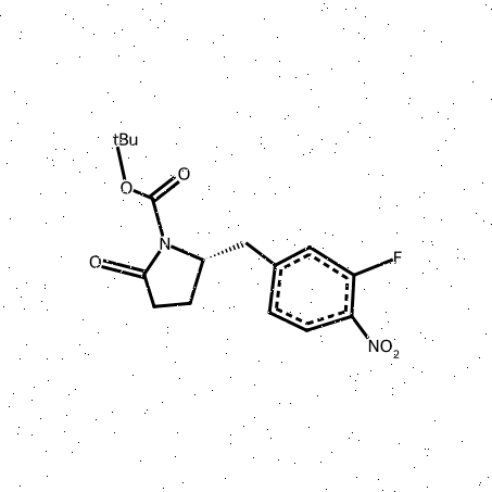 CC(C)(C)OC(=O)N1C(=O)CC[C@H]1Cc1ccc([N+](=O)[O-])c(F)c1